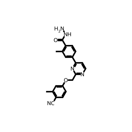 Cc1cc(OCc2nccc(-c3ccc(C(=O)NN)c(C)c3)n2)ccc1C#N